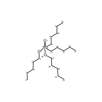 CCCCC[O][Zr](=[O])([CH2]CCCC)([CH2]CCCC)[O]CCCCC